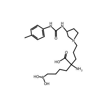 Cc1ccc(NC(=O)NC2CCN(CCCC(N)(CCCCB(O)O)C(=O)O)C2)cc1